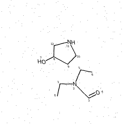 CCN(C=O)CC.OC1CCNC1